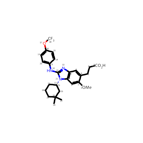 COc1cc2c(cc1CCC(=O)O)nc(Nc1ccc(OC(F)(F)F)cc1)n2[C@H]1CCCC(C)(C)C1